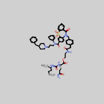 NC(=O)CC[C@H](NC(=O)NC(CCC(=O)O)C(=O)O)C(=O)OCCNC(=O)Cc1ccc(CN2C(=O)c3ccccc3S(=O)(=O)c3cc(C(=O)N(CCCN4CCC(Cc5ccccc5)CC4)c4ccccc4)ccc32)cc1